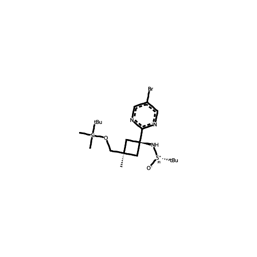 CC(C)(C)[S@+]([O-])N[C@]1(c2ncc(Br)cn2)C[C@](C)(CO[Si](C)(C)C(C)(C)C)C1